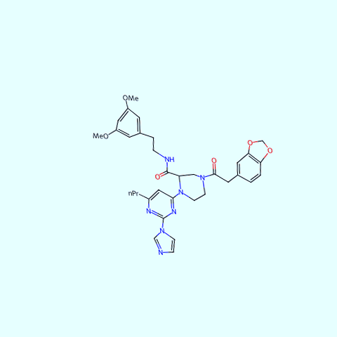 CCCc1cc(N2CCN(C(=O)Cc3ccc4c(c3)OCO4)CC2C(=O)NCCc2cc(OC)cc(OC)c2)nc(-n2ccnc2)n1